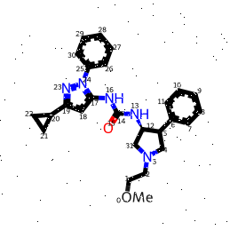 COCCN1CC(c2ccccc2)[C@H](NC(=O)Nc2cc(C3CC3)nn2-c2ccccc2)C1